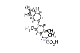 C/C(=C\c1cc(C)c(-c2ccc3[nH]c(=O)[nH]c3c2)cc1C)C(=O)O